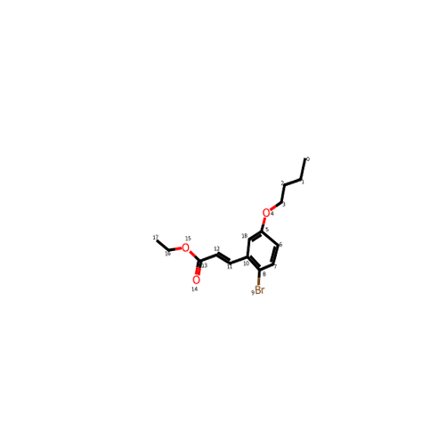 CCCCOc1ccc(Br)c(/C=C/C(=O)OCC)c1